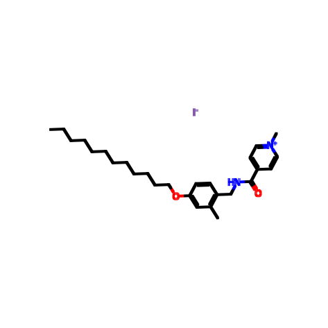 CCCCCCCCCCCCOc1ccc(CNC(=O)c2cc[n+](C)cc2)c(C)c1.[I-]